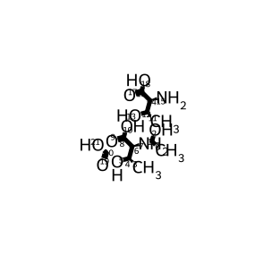 CCO.C[C@@H](O)[C@H](N)C(=O)O.C[C@@H](O)[C@H](N)C(=O)O.O=CO